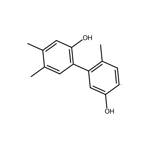 Cc1cc(O)c(-c2cc(O)[c]cc2C)cc1C